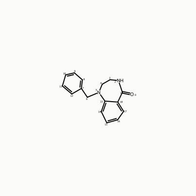 O=C1NCCN(Cc2ccccc2)c2ccccc21